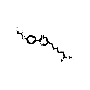 C=CCOc1ccc(-c2ncc(CCCCCC(C)F)cn2)cc1